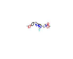 CCOc1ccc(Cc2cc(C3CCN(C(=O)OC(C)(C)C)CC3)n(CCF)n2)cc1